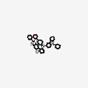 c1ccc(-c2ccc(N(c3ccc4c(c3)c3ccccc3n4-c3ccccc3)c3cccc4oc5cc6nc(-c7ccccc7)oc6cc5c34)cc2)cc1